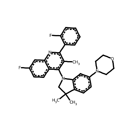 Cc1c(-c2ccccc2F)nc2cc(F)ccc2c1N1CC(C)(C)c2ccc(N3CCOCC3)cc21